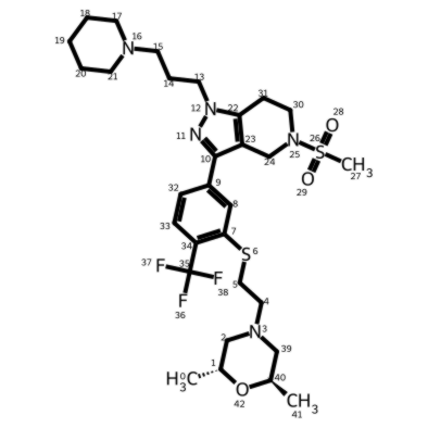 C[C@@H]1CN(CCSc2cc(-c3nn(CCCN4CCCCC4)c4c3CN(S(C)(=O)=O)CC4)ccc2C(F)(F)F)C[C@@H](C)O1